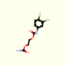 NC(=O)OCCOC(=O)Nc1ccc(Cl)c(Cl)c1